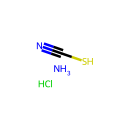 Cl.N.N#CS